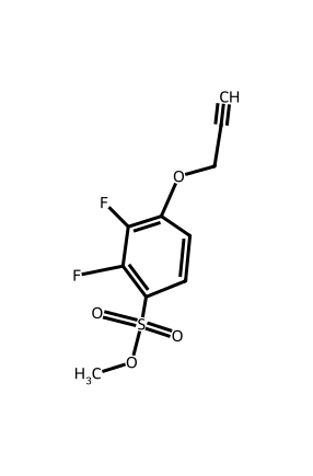 C#CCOc1ccc(S(=O)(=O)OC)c(F)c1F